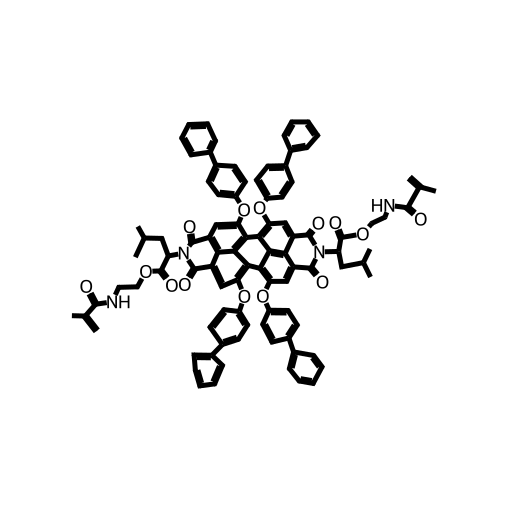 C=C(C)C(=O)NCCOC(=O)C(CC(C)C)N1C(=O)c2cc(Oc3ccc(-c4ccccc4)cc3)c3c4c(Oc5ccc(-c6ccccc6)cc5)cc5c6c(cc(Oc7ccc(-c8ccccc8)cc7)c(c7c(Oc8ccc(-c9ccccc9)cc8)cc(c2c37)C1=O)c64)C(=O)N(C(CC(C)C)C(=O)OCCNC(=O)C(=C)C)C5=O